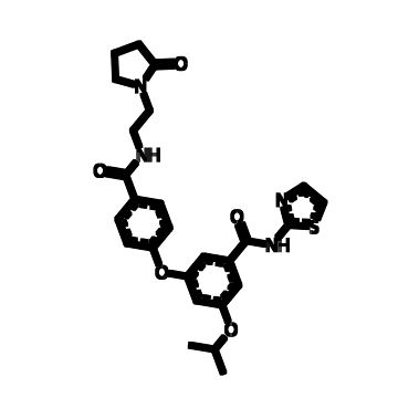 CC(C)Oc1cc(Oc2ccc(C(=O)NCCN3CCCC3=O)cc2)cc(C(=O)Nc2nccs2)c1